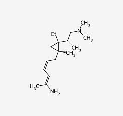 CCC1([C@@H](C)CN(C)C)C[C@@]1(C)C/C=C\C=C(/C)N